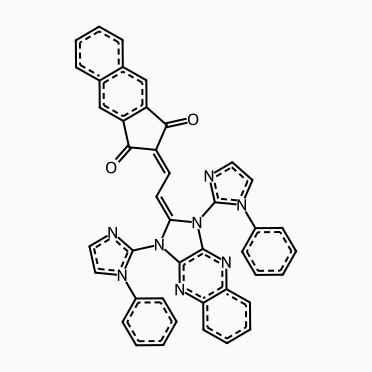 O=C1C(=CC=C2N(c3nccn3-c3ccccc3)c3nc4ccccc4nc3N2c2nccn2-c2ccccc2)C(=O)c2cc3ccccc3cc21